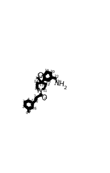 Cc1cccc(/C=C/C(=O)N2CCC3(CC2)COc2ccc(CN)cc23)c1